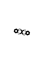 c1ccc2c(c1)OCC1(CO2)COc2ccccc2OC1